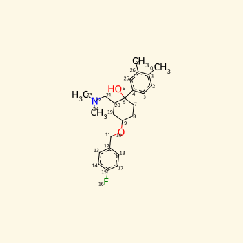 Cc1ccc(C2(O)CCC(OCc3ccc(F)cc3)CC2CN(C)C)cc1C